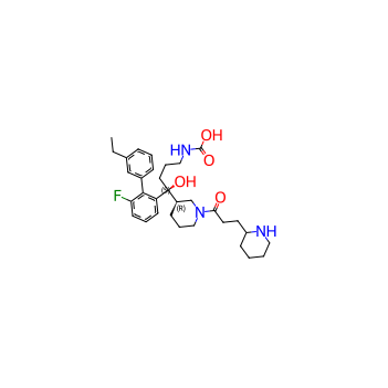 CCc1cccc(-c2c(F)cccc2[C@](O)(CCCNC(=O)O)[C@@H]2CCCN(C(=O)CCC3CCCCN3)C2)c1